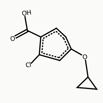 O=C(O)c1ccc(OC2CC2)cc1Cl